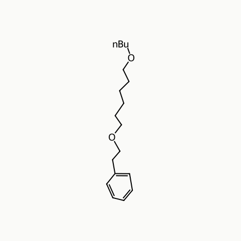 CCCCOCCCCCCOCCc1ccccc1